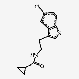 O=C(NCCc1csc2ccc(Cl)cc12)C1CC1